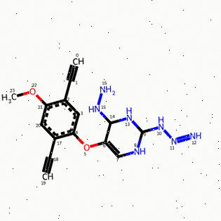 C#Cc1cc(OC2=CNC(NN=N)NC2NN)c(C#C)cc1OC